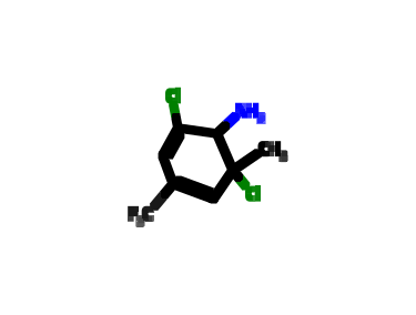 CC1(Cl)C=C(C(F)(F)F)C=C(Cl)C1N